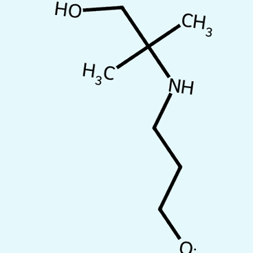 CC(C)(CO)NCCC[O]